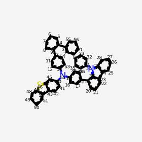 c1ccc(-c2ccccc2-c2ccc(N(c3ccc(-c4cccc5c6ccccc6n(-c6ccccc6)c45)cc3)c3ccc4c(c3)sc3ccccc34)cc2)cc1